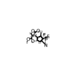 COC(=O)C1COC(=O)N1c1ccc(C#N)c(C(F)(F)F)c1C